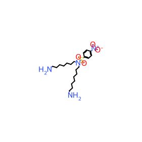 NCCCCCCCCN(CCCCCCCN)S(=O)(=O)c1ccc([N+](=O)[O-])cc1